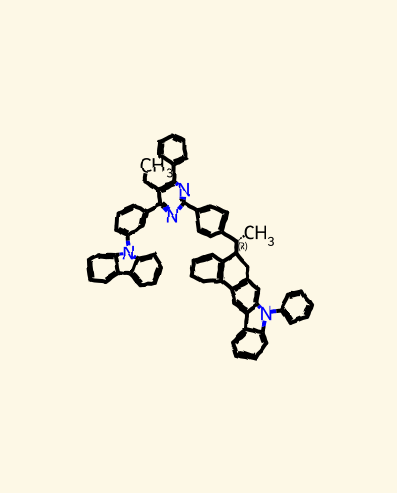 CCc1c(-c2ccccc2)nc(-c2ccc([C@H](C)C3Cc4cc5c(cc4C4=C3C=CCC4)c3ccccc3n5-c3ccccc3)cc2)nc1-c1cccc(-n2c3ccccc3c3ccccc32)c1